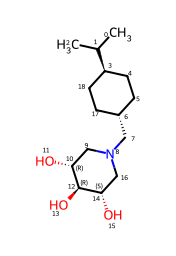 CC(C)[C@H]1CC[C@H](CN2C[C@@H](O)[C@H](O)[C@@H](O)C2)CC1